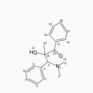 CN(C)C(c1ccccc1)C(C)(O)C(=O)c1ccccc1